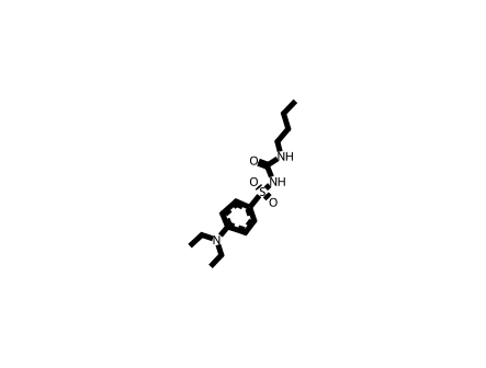 CCCCNC(=O)NS(=O)(=O)c1ccc(N(CC)CC)cc1